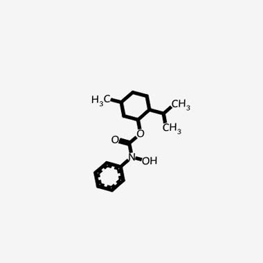 CC1CCC(C(C)C)C(OC(=O)N(O)c2ccccc2)C1